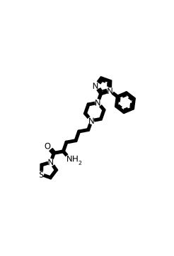 NC(CCCCN1CCN(c2nccn2-c2ccccc2)CC1)C(=O)N1CCSC1